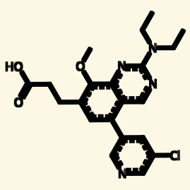 CCN(CC)c1ncc2c(-c3cncc(Cl)c3)cc(CCC(=O)O)c(OC)c2n1